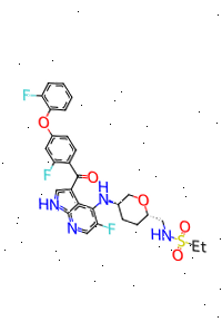 CCS(=O)(=O)NC[C@@H]1CC[C@@H](Nc2c(F)cnc3[nH]cc(C(=O)c4ccc(Oc5ccccc5F)cc4F)c23)CO1